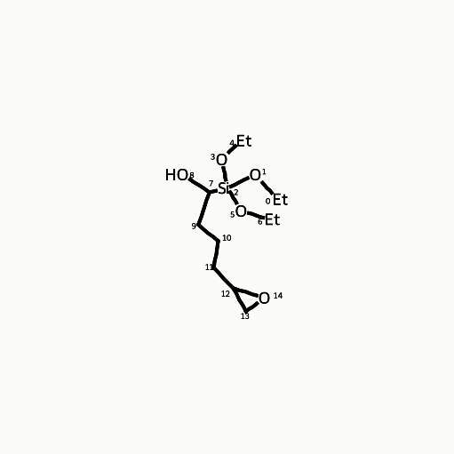 CCO[Si](OCC)(OCC)C(O)CCCC1CO1